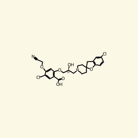 N#CCOc1cc(OC[C@@H](O)CN2CCC3(CC2)Cc2cc(Cl)ccc2O3)c(C(=O)O)cc1Cl